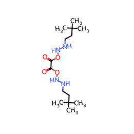 CC(C)(C)CCNNOC(=O)C(=O)ONNCCC(C)(C)C